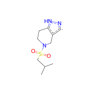 CC(C)CS(=O)(=O)N1CCc2[nH]n[c]c2C1